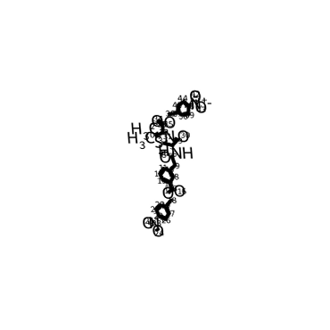 CC1(C)S[C@H]2[C@H](NC(=O)Cc3cccc(C(=O)OCc4ccc([N+](=O)[O-])cc4)c3)C(=O)N2C1C(=O)OCc1ccc([N+](=O)[O-])cc1